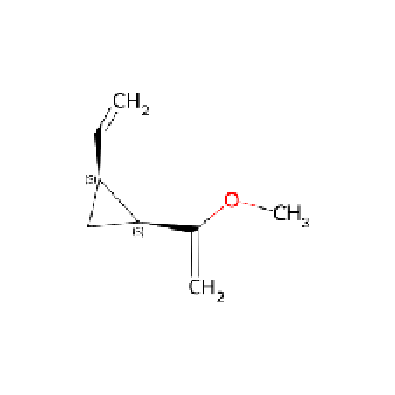 C=C[C@@H]1C[C@@H]1C(=C)OC